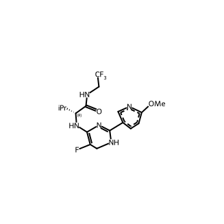 COc1ccc(C2=NC(N[C@@H](C(=O)NCC(F)(F)F)C(C)C)=C(F)CN2)cn1